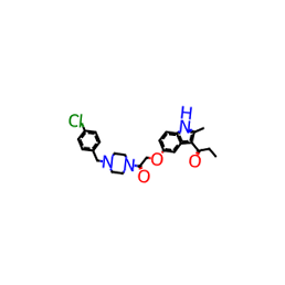 CCC(=O)c1c(C)[nH]c2ccc(OCC(=O)N3CCN(Cc4ccc(Cl)cc4)CC3)cc12